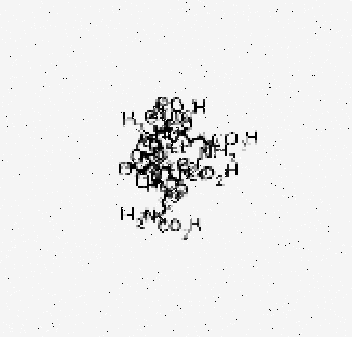 CCOC(=O)C1(CS(=O)(=O)CC(NC(=O)CCC(N)C(=O)O)C(=O)N(C)C(=O)O)OC(=O)C(O)=C1S(=O)(=O)CC(NC(=O)CCC(N)C(=O)O)C(=O)N(C)C(=O)O